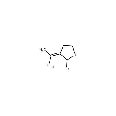 CCC1OCCC1=C(C)C